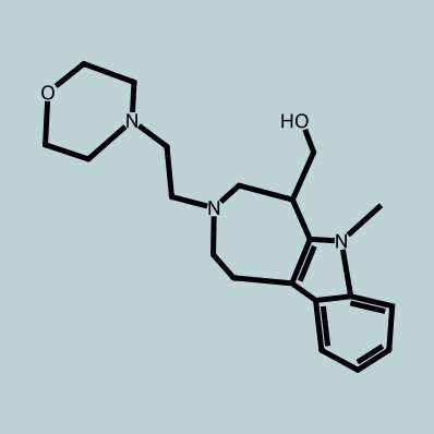 Cn1c2c(c3ccccc31)CCN(CCN1CCOCC1)CC2CO